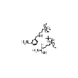 CCO[Si](CCCNC(=N)N)(OC)OC(C)(C)C.CO[Si](CCCNCc1cccc(CN)c1)(OC)OC